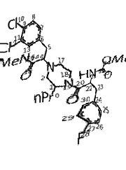 CCCC1CN(C(Cc2ccc(Cl)c(Cl)c2)C(=O)NC)CCN1C(=O)C(Cc1ccc(F)cc1)NC(=O)OC